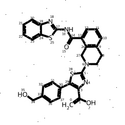 C=C(O)c1nc(N2CCc3cccc(C(=O)Nc4nc5ccccc5s4)c3C2)sc1-c1ccc(CO)cc1